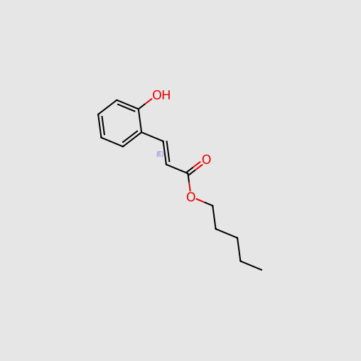 CCCCCOC(=O)/C=C/c1ccccc1O